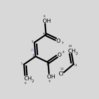 C=C/C(=C/C(=O)O)C(=O)O.C=CCl